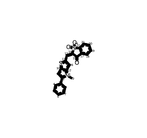 Cn1c(-c2ccccc2)cc2sc(/C=C3\C(=O)c4ccccc4S3(=O)=O)cc21